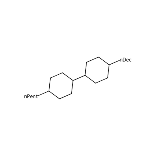 CCCCCCCCCCC1CCC(C2CCC(CCCCC)CC2)CC1